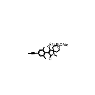 CC#Cc1cc(C)c(C2=C(OC(=O)OCC)C3(CCN(OC)CC3)N(C)C2=O)c(C)c1